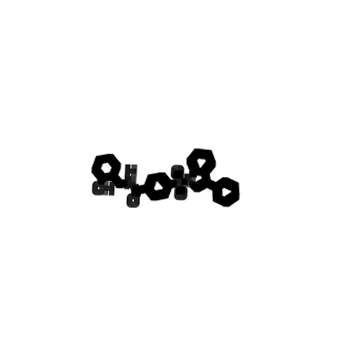 O=C(NCC1CCCCC1O)c1ccc(S(=O)(=O)n2cc(-c3ccccc3)c3ccccc32)cc1